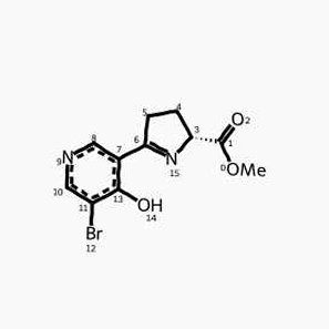 COC(=O)[C@H]1CCC(c2cncc(Br)c2O)=N1